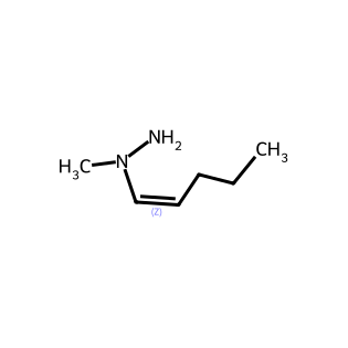 CCC/C=C\N(C)N